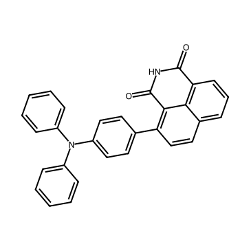 O=C1NC(=O)c2c(-c3ccc(N(c4ccccc4)c4ccccc4)cc3)ccc3cccc1c23